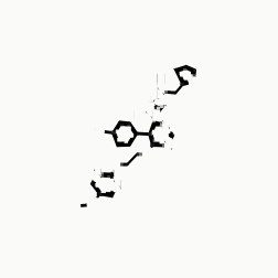 CSc1cnc(OCCOc2ncnc(NS(=O)(=O)NCc3cccs3)c2-c2ccc(Br)cc2)nc1